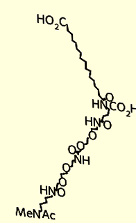 CNC(CCCCNC(=O)COCCOCCNC(=O)COCCOCCNC(=O)CCC(NC(=O)CCCCCCCCCCCCCCCCC(=O)O)C(=O)O)C(C)=O